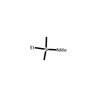 CC[Si](C)(C)NC